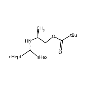 CCCCCCCC(CCCCCC)N[C@@H](C)COC(=O)C(C)(C)C